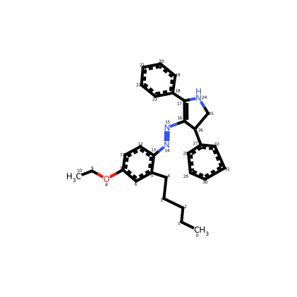 CCCCCc1cc(OCC)ccc1N=NC1=C(c2ccccc2)NCC1c1ccccc1